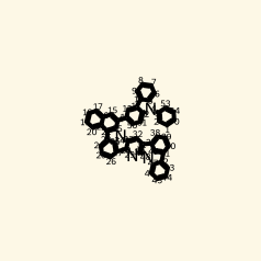 c1ccc(-n2c3ccccc3c3cc(-c4cc5ccccc5c5c6cccc7c8nc9c(cc8n(c45)c76)c4cccc5c6ccccc6n9c54)ccc32)cc1